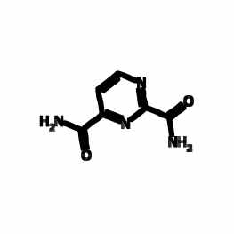 NC(=O)c1ccnc(C(N)=O)n1